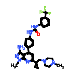 CN1CCN(CC2(c3cc(-c4ccc(NC(=O)Nc5cccc(C(F)(F)F)c5)cc4)c4c(N)nn(C)c4n3)CC2)CC1